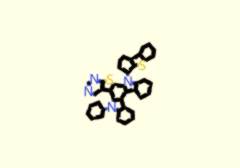 c1ccc(-n2c3ccccc3c3c4c5ccccc5n(-c5cccc6c5sc5ccccc56)c4c4sc5ncncc5c4c32)cc1